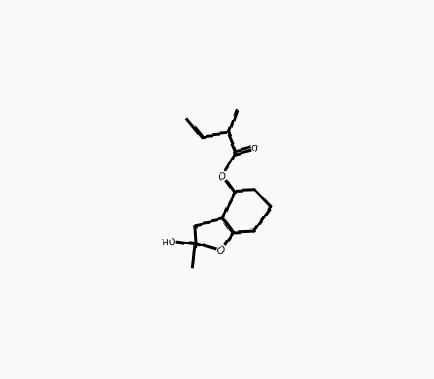 CCC(C)C(=O)OC1CCCC2OC(C)(O)CC12